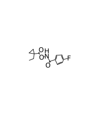 CCC1(C(=O)ONC(=O)c2ccc(F)cc2)CC1